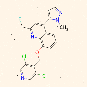 Cn1nccc1-c1cc(CF)nc2c(OCc3c(Cl)cncc3Cl)cccc12